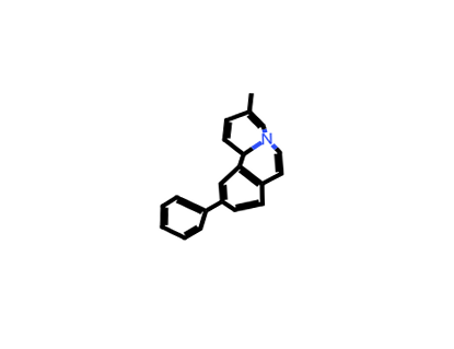 CC1=CN2C=Cc3ccc(-c4ccccc4)cc3C2C=C1